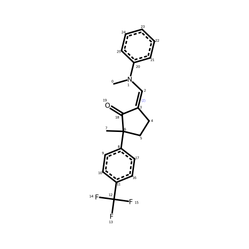 CN(/C=C1/CCC(C)(c2ccc(C(F)(F)F)cc2)C1=O)c1ccccc1